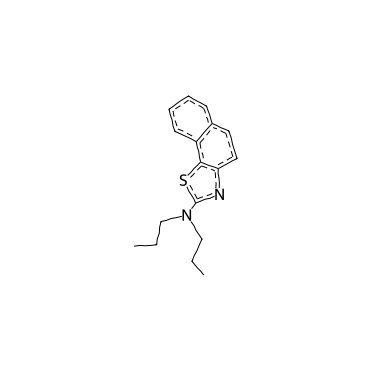 CCCN(CCC)c1nc2ccc3ccccc3c2s1